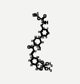 CC(C)(C)OC(=O)NCc1cccc(C2CCN(C(=O)C=Cc3ccc4c(c3)OC(C)(C)OC4)C(I)C2)c1